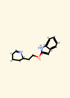 C1=NC(CCOc2cc3ccccc3[nH]2)CCC1